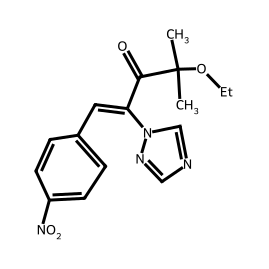 CCOC(C)(C)C(=O)C(=Cc1ccc([N+](=O)[O-])cc1)n1cncn1